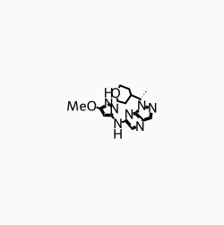 COc1cc(Nc2cnc3cnn([C@@H](C)C4CCOCC4)c3n2)n[nH]1